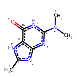 Cc1nc2nc(N(C)C)[nH]c(=O)c2[nH]1